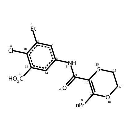 CCCC1=C(C(=O)Nc2cc(CC)c(Cl)c(C(=O)O)c2)SCCO1